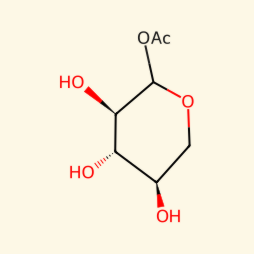 CC(=O)OC1OC[C@@H](O)[C@H](O)[C@H]1O